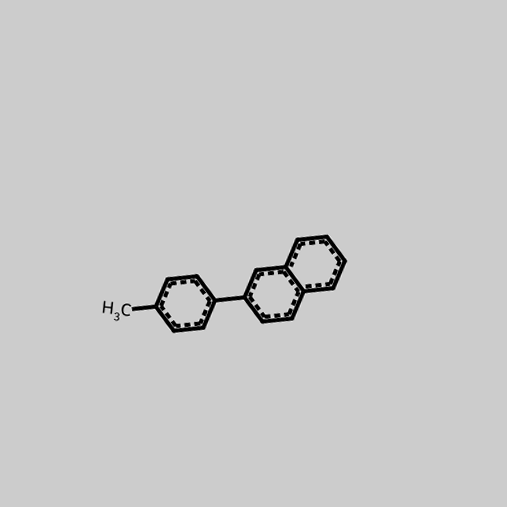 Cc1ccc(-c2ccc3ccccc3c2)cc1